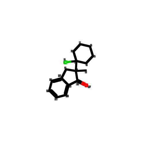 CC1(C2(Cl)CCCCC2)Cc2ccccc2C1=O